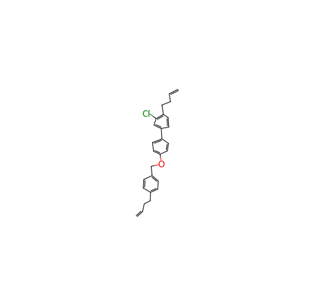 C=CCCc1ccc(COc2ccc(-c3ccc(CCC=C)c(Cl)c3)cc2)cc1